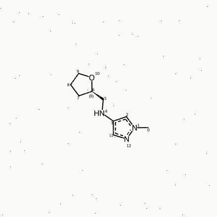 Cn1cc(NC[C@H]2CCCO2)cn1